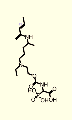 C=C(/C=C/C)NC(C)CCCN(CC)CCOC(=O)NC(C(=O)O)P(=O)(O)O